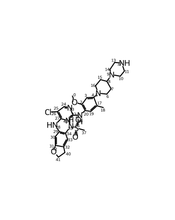 COc1cc(N2CCC(N3CCNCC3)CC2)c(C)cc1Nc1ncc(Cl)c(Nc2cc3c(cc2NS(C)(=O)=O)CCO3)n1